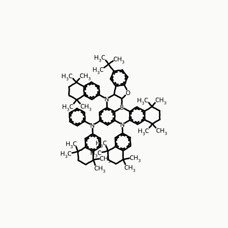 CC(C)(C)c1ccc2c(c1)C1C(O2)B2c3cc4c(cc3N(c3ccc5c(c3)C(C)(C)CCC5(C)C)c3cc(N(c5ccccc5)c5ccc6c(c5)C(C)(C)CCC6(C)C)cc(c32)N1c1ccc2c(c1)C(C)(C)CCC2(C)C)C(C)(C)CCC4(C)C